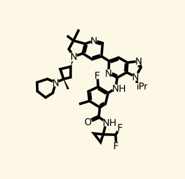 Cc1cc(F)c(Nc2nc(-c3cnc4c(c3)N([C@H]3C[C@@](C)(N5CCCCC5)C3)CC4(C)C)cc3ncn(C(C)C)c23)cc1C(=O)NC1(C(F)F)CC1